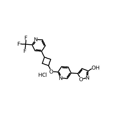 Cl.Oc1cc(-c2ccc(OC3CC(c4ccnc(C(F)(F)F)c4)C3)nc2)on1